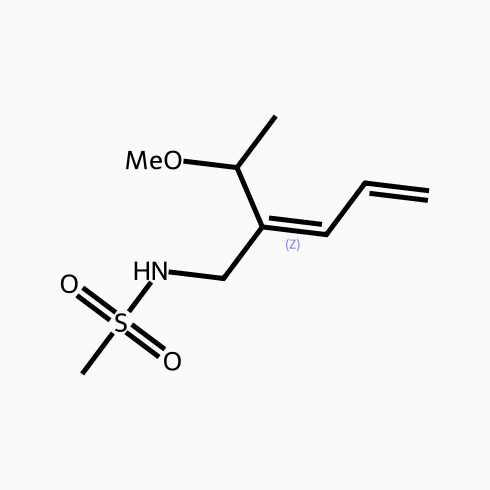 C=C/C=C(/CNS(C)(=O)=O)C(C)OC